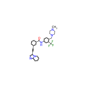 CN1CCN(Cc2ccc(NC(=O)c3cccc(C#Cc4cnc5ccccn45)c3)cc2C(F)(F)F)CC1